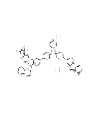 Cc1ccc(N(c2ccc(-c3ccc4c(c3)C(C)(C)c3ccccc3-4)cc2)c2ccc(-c3ccc4c(c3)c3cc([N+](=O)[O-])ccc3n4-c3cccc4ccccc34)cc2)cc1